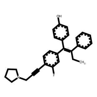 CC/C(=C(/c1ccc(O)cc1)c1ccc(C#CCN2CCCC2)c(F)c1)c1ccccc1